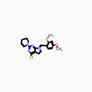 COc1ccc(CN2CCc3c(Cl)nc(N4CCCCC4)nc32)c(OC)c1